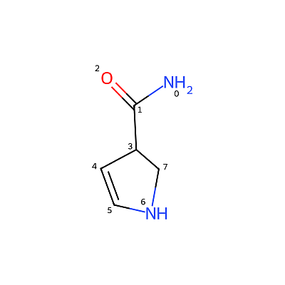 NC(=O)C1C=CNC1